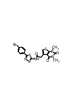 Cn1c(=O)c2c(CC(=O)Nc3nnc(-c4ccc(Br)cc4)s3)csc2n(C)c1=O